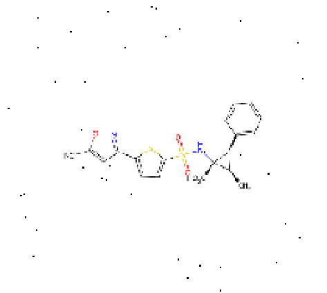 C[C@@H]1[C@H](c2ccccc2)[C@]1(NS(=O)(=O)c1ccc(-c2cc(C#N)on2)s1)C(=O)O